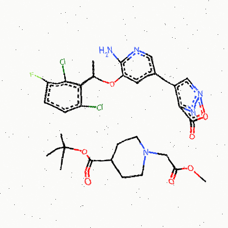 CC(Oc1cc(-c2cn3nc2c(=O)o3)cnc1N)c1c(Cl)ccc(F)c1Cl.COC(=O)CN1CCC(C(=O)OC(C)(C)C)CC1